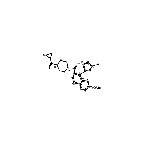 COc1ccc2ncc(C(=O)N3CCN(C(=O)C4CC4)CC3)c(-n3cc(C)cn3)c2c1